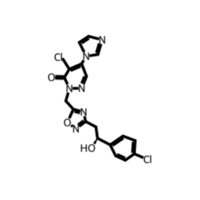 O=c1c(Cl)c(-n2ccnc2)cnn1Cc1nc(C[C@H](O)c2ccc(Cl)cc2)no1